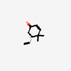 C=C[C@@H]1CC(=O)C=CC1(C)C